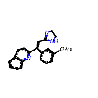 COc1cccc(/C(=C\C2=NCCN2)c2ccc3ccccc3n2)c1